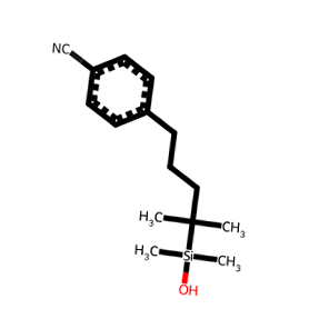 CC(C)(CCCc1ccc(C#N)cc1)[Si](C)(C)O